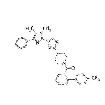 Cc1c(-c2ccccc2)nc(-c2csc(C3CCN(C(=O)c4ccccc4-c4ccc(C(F)(F)F)cc4)CC3)n2)n1C